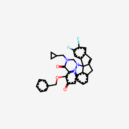 O=C1c2c(OCc3ccccc3)c(=O)ccn2N(C23C(=Cc4cc(F)c(F)cc42)Cc2ccccc23)CN1CC1CC1